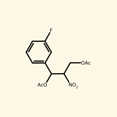 CC(=O)OCC(C(OC(C)=O)c1cccc(F)c1)[N+](=O)[O-]